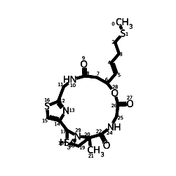 CSCC/C=C/C1CC(=O)NCc2nc(cs2)C2SCC(C)(C(=O)NCC(=O)O1)N2C